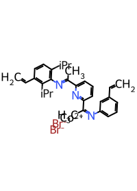 C=Cc1cccc(N=C(C)c2cccc(C(C)=Nc3c(C(C)C)ccc(C=C)c3C(C)C)n2)c1.[Br-].[Br-].[Co+2]